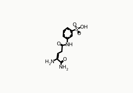 NC(=O)/C(N)=C\CC(=O)Nc1cccc(S(=O)(=O)O)c1